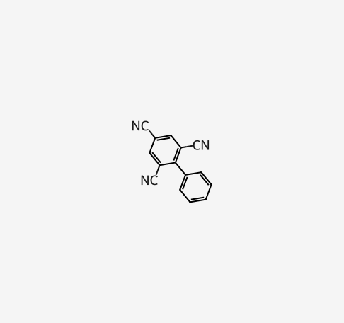 N#Cc1cc(C#N)c(-c2ccccc2)c(C#N)c1